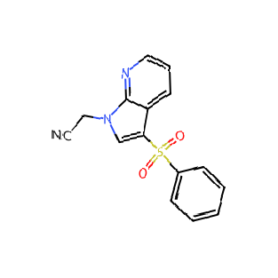 N#CCn1cc(S(=O)(=O)c2ccccc2)c2cccnc21